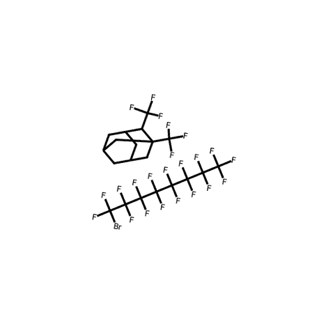 FC(F)(F)C(F)(F)C(F)(F)C(F)(F)C(F)(F)C(F)(F)C(F)(F)C(F)(F)Br.FC(F)(F)C1C2CC3CC(C2)CC1(C(F)(F)F)C3